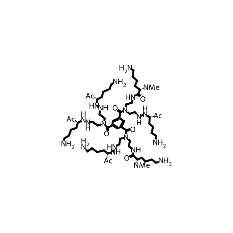 CN[C@@H](CCCCN)C(=O)NCCN(CCNN[C@@H](CCCCN)C(C)=O)C(=O)c1cc(C(=O)N(CCNN[C@@H](CCCCN)C(C)=O)CCNN[C@@H](CCCCN)C(C)=O)cc(C(=O)N(CCNN[C@@H](CCCCN)C(C)=O)CCNC(=O)[C@H](CCCCN)NC)c1